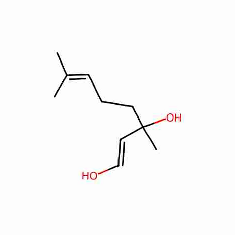 CC(C)=CCCC(C)(O)C=CO